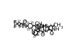 CSc1cc(C)[nH]c(=O)c1CNC(=O)c1c(C)n(C(C)C2CCC(NC(=O)C3CC(F)(F)C3)CC2)c2ncccc12